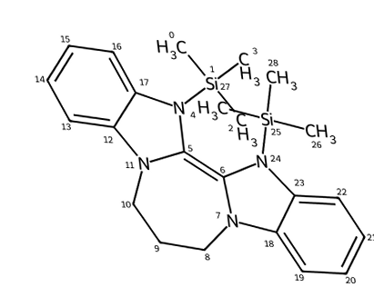 C[Si](C)(C)N1C2=C3N(CCCN2c2ccccc21)c1ccccc1N3[Si](C)(C)C